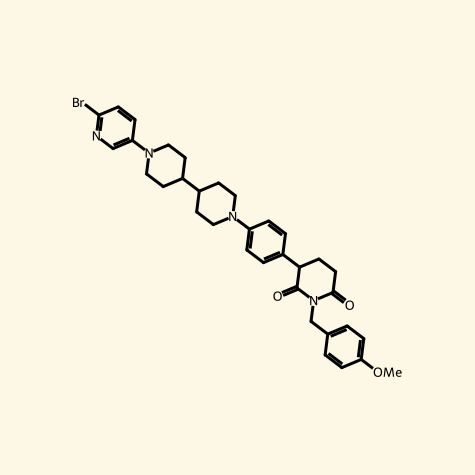 COc1ccc(CN2C(=O)CCC(c3ccc(N4CCC(C5CCN(c6ccc(Br)nc6)CC5)CC4)cc3)C2=O)cc1